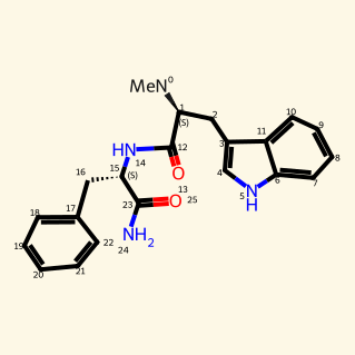 CN[C@@H](Cc1c[nH]c2ccccc12)C(=O)N[C@@H](Cc1ccccc1)C(N)=O